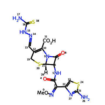 CO/N=C(\C(=O)NC1C(=O)N2C(C(=O)O)=C(C=NNC(N)=S)CS[C@@H]12)c1csc(N)n1